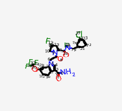 NC(=O)c1cn(CC(=O)N2C[C@H](F)C[C@H]2C(=O)N(F)Cc2cccc(Cl)c2)c2cc(OC(F)(F)F)ccc12